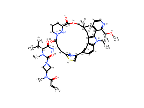 C=CC(=O)N(C)C1CN(C(=O)N(C)[C@H](C(=O)N[C@H]2Cc3nc(cs3)-c3ccc4c(c3)c(c(-c3cccnc3[C@H](C)OC)n4CC)CC(C)(C)COC(=O)[C@@H]3CCCN(N3)C2=O)C(C)C)C1